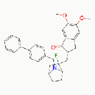 COc1cc2c(cc1OC)C(=O)C(CC1(F)CC3CCC1N3Cc1ccc(-c3ccccc3)cc1)C2